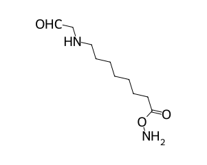 NOC(=O)CCCCCCCNCC=O